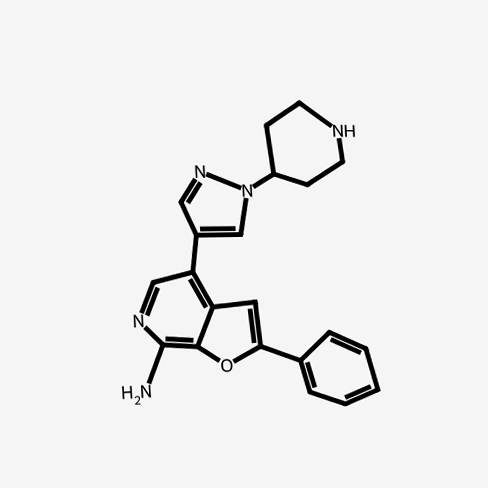 Nc1ncc(-c2cnn(C3CCNCC3)c2)c2cc(-c3ccccc3)oc12